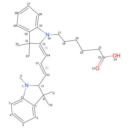 CN1c2ccccc2C(C)(C)C1/C=C/C=C1/N(CCCCCC(=O)O)c2ccccc2C1(C)C